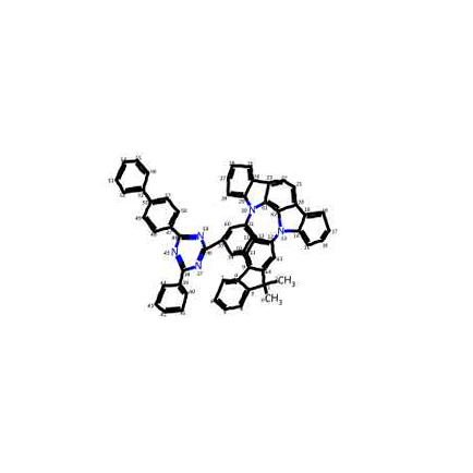 CC1(C)c2ccccc2-c2ccc(-n3c4ccccc4c4ccc5c6ccccc6n(-c6cccc(-c7nc(-c8ccccc8)nc(-c8ccc(-c9ccccc9)cc8)n7)c6)c5c43)cc21